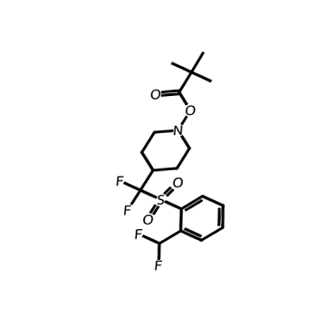 CC(C)(C)C(=O)ON1CCC(C(F)(F)S(=O)(=O)c2ccccc2C(F)F)CC1